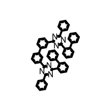 c1ccc(-c2nc(-c3cccc(-c4cccc(-c5nc(-c6ccccc6)nc(-c6ccccc6-c6ccccc6)n5)c4)c3)nc(-c3ccccc3-c3ccccc3)n2)cc1